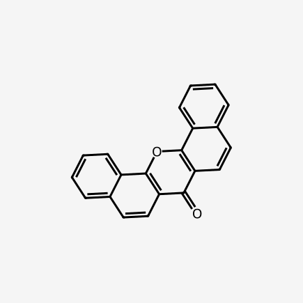 O=c1c2ccc3ccccc3c2oc2c1ccc1ccccc12